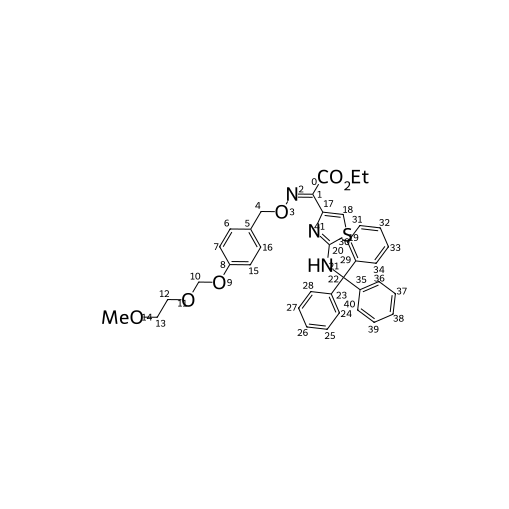 CCOC(=O)C(=NOCc1ccc(OCOCCOC)cc1)c1csc(NC(c2ccccc2)(c2ccccc2)c2ccccc2)n1